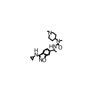 CC(NC(=O)N(C)C1CCN(C)CC1)c1ccc2c(NC3CC3)noc2c1